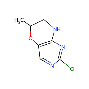 CC1CNc2nc(Cl)ncc2O1